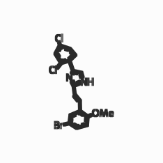 COc1ccc(Br)cc1C=Cc1nc(-c2ccc(Cl)cc2Cl)c[nH]1